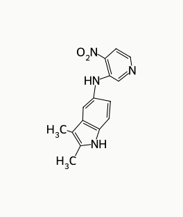 Cc1[nH]c2ccc(Nc3cnccc3[N+](=O)[O-])cc2c1C